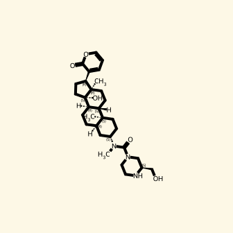 CN(C(=O)N1CCN[C@H](CO)C1)[C@H]1CC[C@@]2(C)[C@H](CC[C@@H]3[C@@H]2CC[C@]2(C)[C@H](c4cccoc4=O)CC[C@]32O)C1